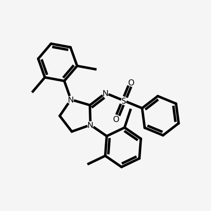 Cc1cccc(C)c1N1CCN(c2c(C)cccc2C)C1=NS(=O)(=O)c1ccccc1